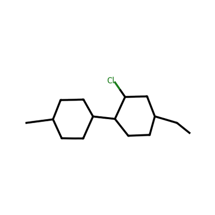 CCC1CCC(C2CCC(C)CC2)C(Cl)C1